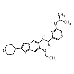 CCOc1cc2nc(C3CCOCC3)cn2cc1NC(=O)c1cccc(OC(C)C)n1